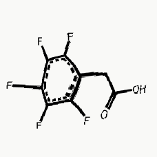 O=C(O)Cc1c(F)c(F)c(F)c(F)c1F